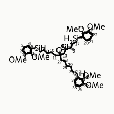 COc1cccc([SiH2]CCCCCC(CCCCC[SiH2]c2cccc(OC)c2OC)(CCCCC[SiH2]c2cccc(OC)c2OC)O[SiH3])c1OC